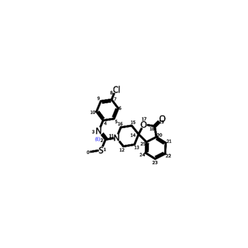 CS/C(=N/c1ccc(Cl)cc1)N1CCC2(CC1)OC(=O)c1ccccc12